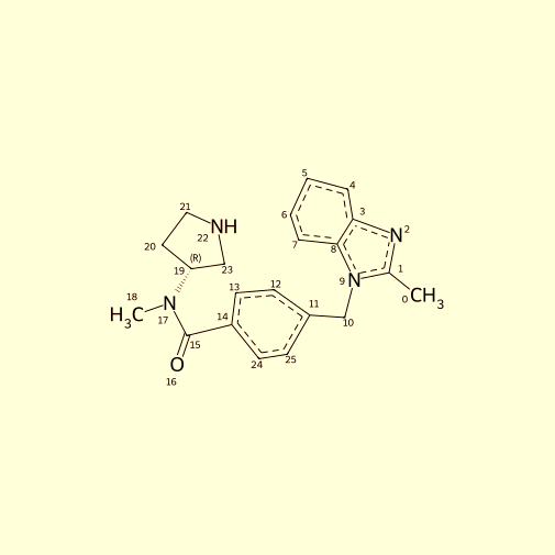 Cc1nc2ccccc2n1Cc1ccc(C(=O)N(C)[C@@H]2CCNC2)cc1